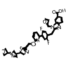 O=C(O)c1ccc2nc(Cc3cc(F)c(-c4cccc(OCc5ncc(-c6cnn(C7COC7)c6)s5)n4)cc3F)n(CC3CCO3)c2c1